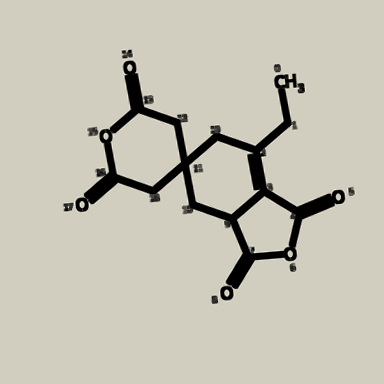 CCC1=C2C(=O)OC(=O)C2CC2(CC(=O)OC(=O)C2)C1